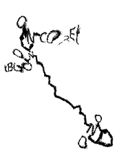 CCOC(=O)Cn1cc(N(CCCCCCCCCCCCCCN2C(=O)c3ccccc3C2=O)C(=O)OC(C)(C)C)ccc1=O